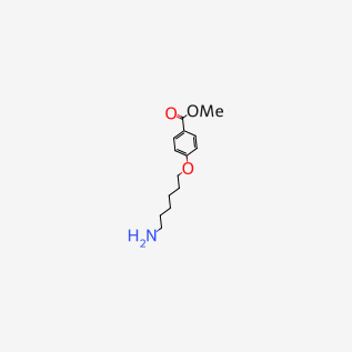 COC(=O)c1ccc(OCCCCCCN)cc1